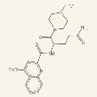 CCOC(=O)N1CCN(C(=O)C(CCC(N)=O)NC(=O)c2cc(OC)c3ccccc3n2)CC1